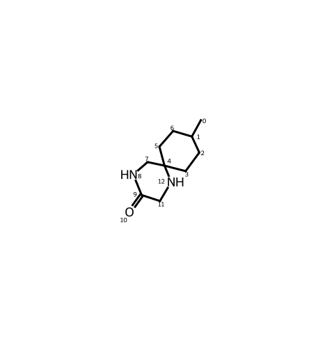 CC1CCC2(CC1)CNC(=O)CN2